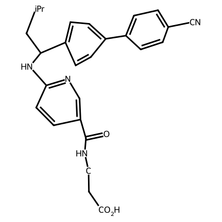 CC(C)CC(Nc1ccc(C(=O)NCCC(=O)O)cn1)c1ccc(-c2ccc(C#N)cc2)cc1